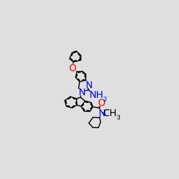 CN(C(=O)c1ccc2c(c1)C(N1Cc3cc(Oc4ccccc4)ccc3N=C1N)c1ccccc1-2)C1CCCCC1